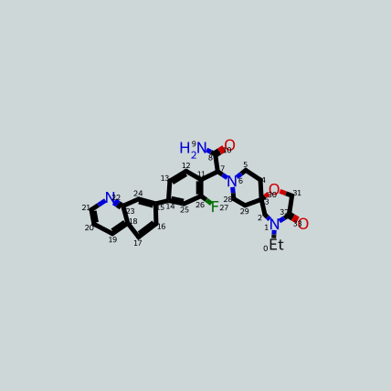 CCN1CC2(CCN(C(C(N)=O)c3ccc(-c4ccc5cccnc5c4)cc3F)CC2)OCC1=O